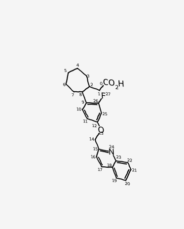 O=C(O)CC1CCCCCC1c1ccc(OCc2ccc3ccccc3n2)cc1F